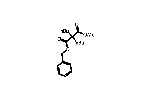 CCCCC(CCCC)(C(=O)OC)C(=O)OCc1ccccc1